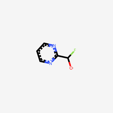 [O]C(F)c1ncccn1